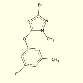 Cc1cc(Cl)cc(Oc2nc(Br)nn2C)c1